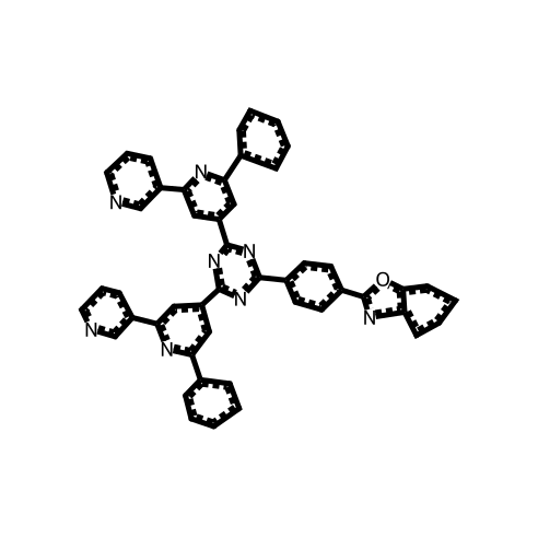 c1ccc(-c2cc(-c3nc(-c4ccc(-c5nc6ccccc6o5)cc4)nc(-c4cc(-c5ccccc5)nc(-c5cccnc5)c4)n3)cc(-c3cccnc3)n2)cc1